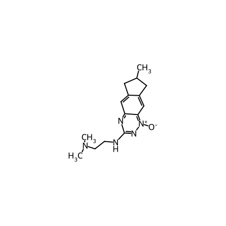 CC1Cc2cc3nc(NCCN(C)C)n[n+]([O-])c3cc2C1